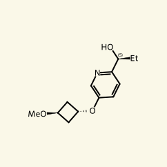 CC[C@H](O)c1ccc(O[C@H]2C[C@H](OC)C2)cn1